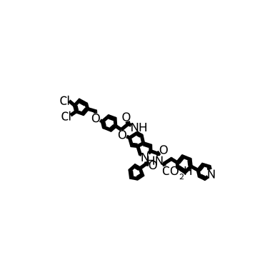 O=C(O)C(Cc1ccc(-c2ccncc2)cc1)NC(=O)C1C=C2C=C3NC(=O)C(c4ccc(OCc5ccc(Cl)c(Cl)c5)cc4)OC3C=C2CN1C(=O)c1ccccc1